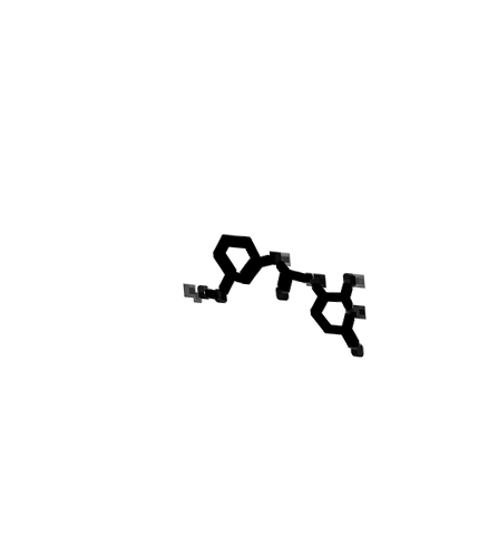 COc1cccc(NC(=O)NC2CCC(=O)NC2O)c1